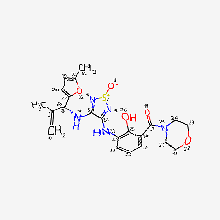 C=C(C)[C@@H](Nc1n[s+]([O-])nc1Nc1cccc(C(=O)N2CCOCC2)c1O)c1ccc(C)o1